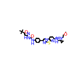 COCCNC1(CNc2ccc3c(n2)sc2nc(-c4ccc(NC(=O)Nc5cc(C(C)(C)C)on5)cc4)cn23)CC1